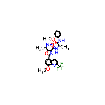 COc1ccccc1NC(=O)[C@@H](C)NC(=O)c1nc(-c2ccc(OC)c3nc(C(F)(F)F)ccc23)oc1[C@H](C)N